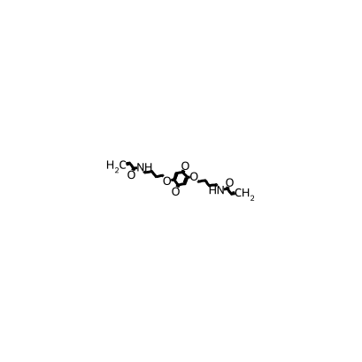 C=CC(=O)NCCCCOC1=CC(=O)C(OCCCCNC(=O)C=C)=CC1=O